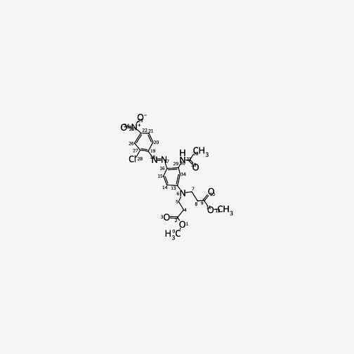 COC(=O)CCN(CCC(=O)OC)c1ccc(N=Nc2ccc([N+](=O)[O-])cc2Cl)c(NC(C)=O)c1